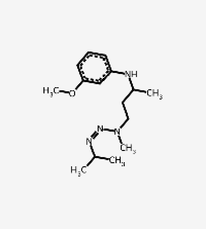 COc1cccc(NC(C)CCN(C)/N=N\C(C)C)c1